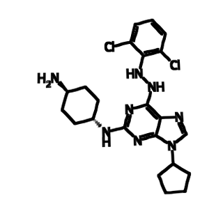 N[C@H]1CC[C@H](Nc2nc(NNc3c(Cl)cccc3Cl)c3ncn(C4CCCC4)c3n2)CC1